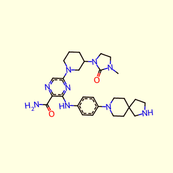 CN1CCN(C2CCCN(c3cnc(C(N)=O)c(Nc4ccc(N5CCC6(CCNC6)CC5)cc4)n3)C2)C1=O